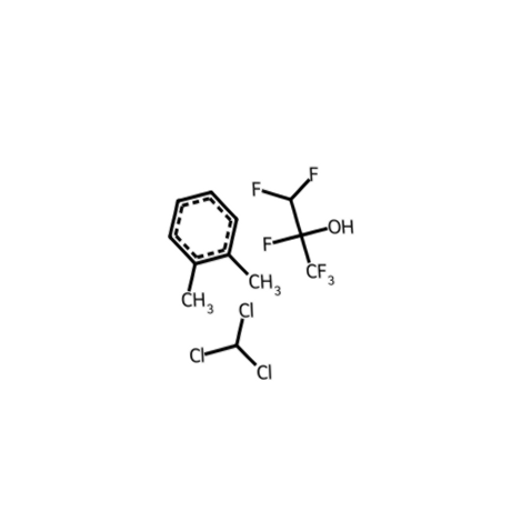 Cc1ccccc1C.ClC(Cl)Cl.OC(F)(C(F)F)C(F)(F)F